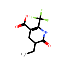 CCC1CC(C(=O)O)=C(C(F)(F)F)NC1=O